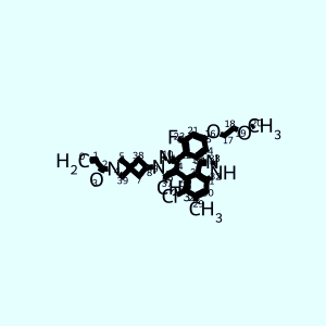 C=CC(=O)N1CC2(CC(n3nc(-c4ccc(OCCOC)cc4F)c(-c4c(Cl)c(C)cc5[nH]ncc45)c3C)C2)C1